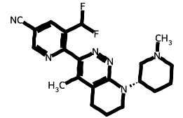 Cc1c(-c2ncc(C#N)cc2C(F)F)nnc2c1CCCN2[C@H]1CCCN(C)C1